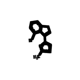 Cc1ccc(C2=CCc3cccc(Br)c32)o1